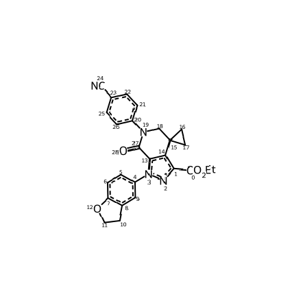 CCOC(=O)c1nn(-c2ccc3c(c2)CCO3)c2c1C1(CC1)CN(c1ccc(C#N)cc1)C2=O